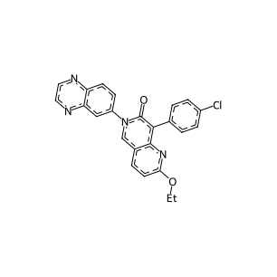 CCOc1ccc2cn(-c3ccc4nccnc4c3)c(=O)c(-c3ccc(Cl)cc3)c2n1